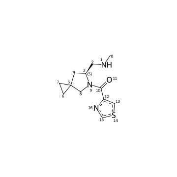 CNC[C@@H]1CC2(CC2)CN1C(=O)c1cscn1